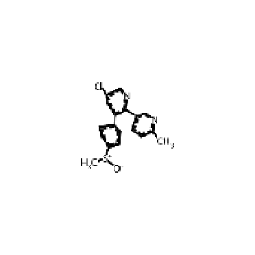 Cc1ccc(-c2ncc(Cl)cc2-c2ccc([S+](C)[O-])cc2)cn1